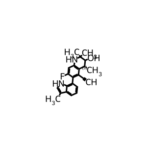 C#Cc1c(-c2cccc3c(C)c[nH]c23)c(F)cc2c1[C@H](C)C(O)C(C)(C)N2